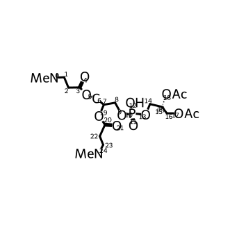 CNCCC(=O)OCC(COP(=O)(O)OC[C@@H](COC(C)=O)OC(C)=O)OC(=O)CCNC